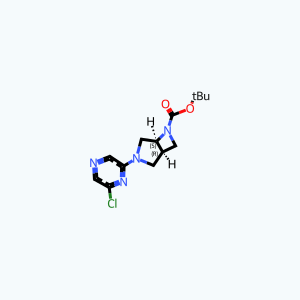 CC(C)(C)OC(=O)N1C[C@H]2CN(c3cncc(Cl)n3)C[C@H]21